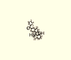 O=C(c1ccccc1)c1ccc2c(C3NCCc4ccccc43)c(O)ccc2c1